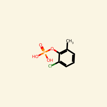 Cc1cccc(Cl)c1OP(=O)(O)O